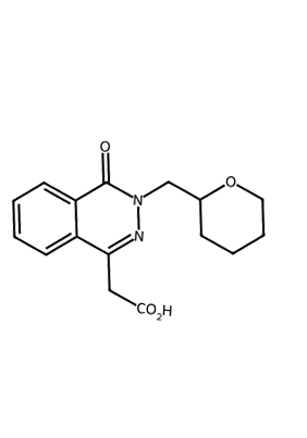 O=C(O)Cc1nn(CC2CCCCO2)c(=O)c2ccccc12